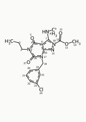 CCCn1c(=O)c2c(NC)n(C(=O)OC)nc2n(Cc2cccc(Cl)c2)c1=O